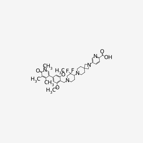 COc1cc(-c2cn(C)c(=O)c(C)c2C)cc(OC)c1CN1CCC(N2CCC3(CC2)CN(c2ccc(C(=O)O)nc2)C3)C(F)(F)C1